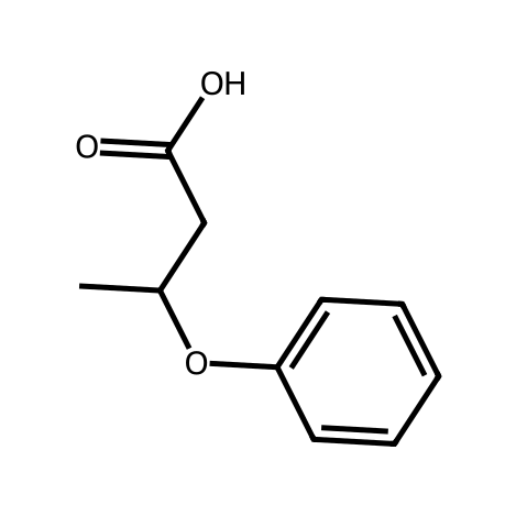 CC(CC(=O)O)Oc1ccccc1